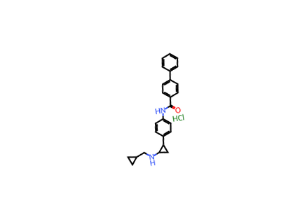 Cl.O=C(Nc1ccc(C2CC2NCC2CC2)cc1)c1ccc(-c2ccccc2)cc1